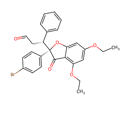 CCOc1cc(OCC)c2c(c1)O[C@](c1ccc(Br)cc1)([C@H](CC=O)c1ccccc1)C2=O